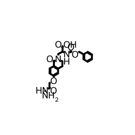 NNC(=O)COc1ccc2c(c1)CCN(CC(NC(=O)OCc1ccccc1)C(=O)O)C2=O